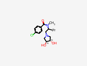 CC(C)C(CN1C[C@H](O)[C@@H](O)C1)N(C)C(=O)c1ccc(Cl)cc1